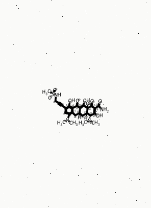 CN(C)c1cc(C#CCNS(C)(=O)=O)c(O)c2c1C[C@H]1C[C@H]3[C@H](N(C)C)C(O)=C(C(N)=O)C(=O)[C@@]3(O)C(O)=C1C2=O